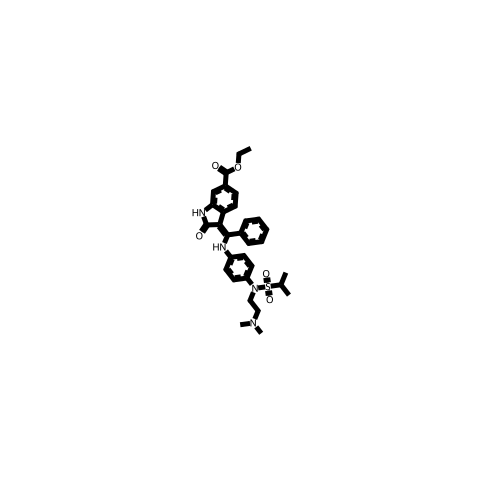 CCOC(=O)c1ccc2c(c1)NC(=O)/C2=C(\Nc1ccc(N(CCN(C)C)S(=O)(=O)C(C)C)cc1)c1ccccc1